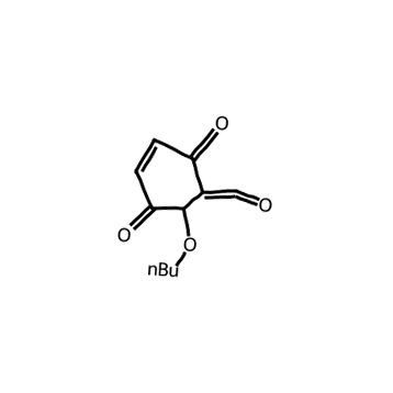 CCCCOC1C(=O)C=CC(=O)C1=C=O